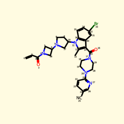 C=CC(=O)N1CC(N2CCC(n3c(C)c(C(=O)N4CCN(c5ccc(C#N)cn5)CC4)c4cc(Br)ccc43)C2)C1